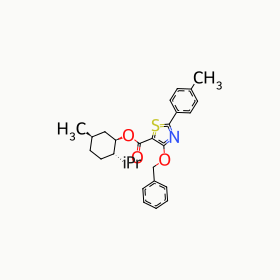 Cc1ccc(-c2nc(OCc3ccccc3)c(C(=O)O[C@@H]3C[C@H](C)CC[C@H]3C(C)C)s2)cc1